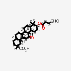 CC1(C(=O)O)CC[C@@]2(C)CC[C@@]3(C)C(=CC(=O)[C@@H]4[C@]3(C)CCC3C(C)(C)[C@H](OC(=O)CCC=O)CC[C@]34C)[C@@H]2C1